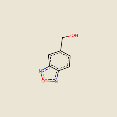 OCc1ccc2nonc2c1